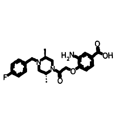 C[C@@H]1CN(Cc2ccc(F)cc2)[C@@H](C)CN1C(=O)COc1ccc(C(=O)O)cc1N